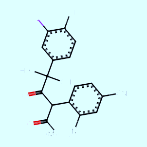 CCc1ccc(C(C)(C)C(=O)C(C(=O)OC)c2ccc(C#N)cc2[N+](=O)[O-])cc1I